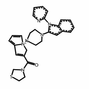 O=C(C1=CC2=CC=C[N@@+]2(N2CCN(c3cc4ccccc4n3-c3ccccn3)CC2)C1)N1CCSC1